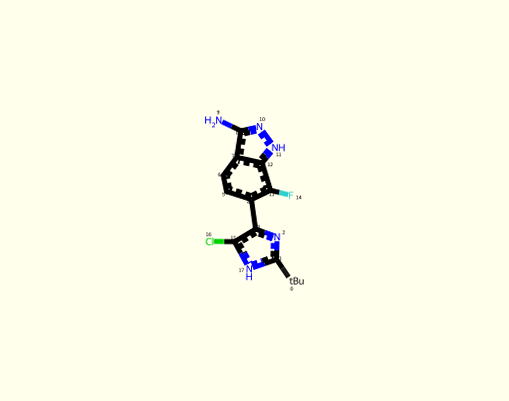 CC(C)(C)c1nc(-c2ccc3c(N)n[nH]c3c2F)c(Cl)[nH]1